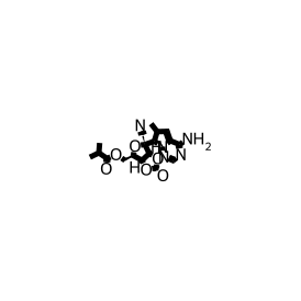 CC(C)C(=O)OC[C@H]1O[C@@](C#N)(C2C(C)C=C3C(N)=NC=NN32)[C@@H]2OC(=O)O[C@@H]21